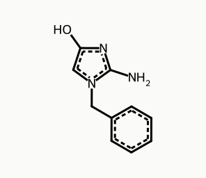 Nc1nc(O)cn1Cc1ccccc1